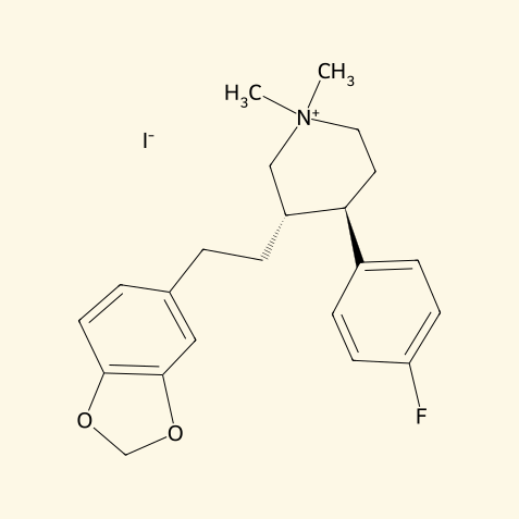 C[N+]1(C)CC[C@@H](c2ccc(F)cc2)[C@H](CCc2ccc3c(c2)OCO3)C1.[I-]